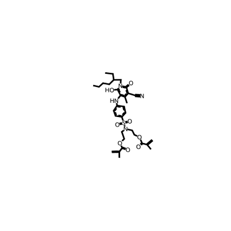 C=C(C)C(=O)OCCN(CCOC(=O)C(=C)C)S(=O)(=O)c1ccc(Nc2c(C)c(C#N)c(=O)n(CC(CC)CCCC)c2O)cc1